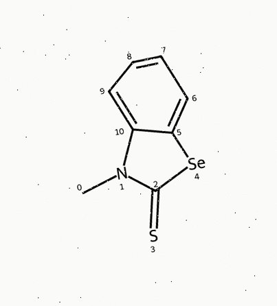 Cn1c(=S)[se]c2ccccc21